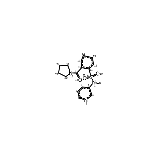 CN(c1cccnc1)S(=O)(=O)c1ccccc1C(=O)N1CCCC1